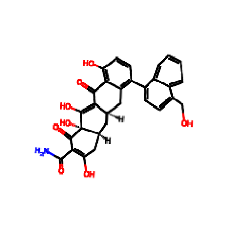 NC(=O)C1=C(O)C[C@@H]2C[C@@H]3Cc4c(-c5ccc(CO)c6ccccc56)ccc(O)c4C(=O)C3=C(O)[C@]2(O)C1=O